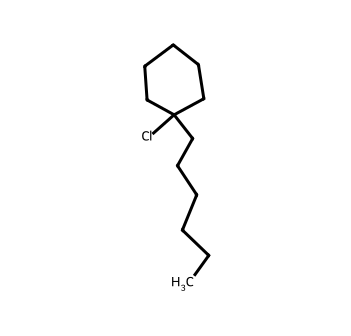 CCCCCCC1(Cl)CCCCC1